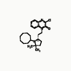 CC1(C)CC[C@@H](CCn2c(=O)c(Cl)nc3ccccc32)N1C1CCCCCCC1